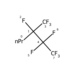 [CH2]CCC(F)(C(F)(F)F)C(F)(F)C(F)(F)F